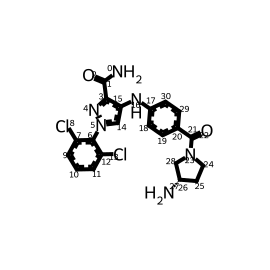 NC(=O)c1nn(-c2c(Cl)cccc2Cl)cc1Nc1ccc(C(=O)N2CC[C@H](N)C2)cc1